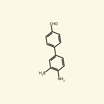 Bc1cc(-c2ccc(C=O)cc2)ccc1N